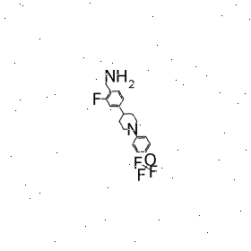 NCc1ccc(C2CCN(c3ccc(OC(F)(F)F)cc3)CC2)cc1F